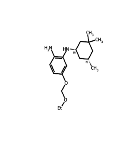 CCOCOc1ccc(N)c(N[C@H]2C[C@@H](C)CC(C)(C)C2)c1